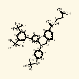 O=C(O)CCNC(=O)c1ccc(CN(c2ccc(SC(F)(F)F)cc2)c2nc(-c3cc(C(F)(F)F)cc(C(F)(F)F)c3)cs2)cc1